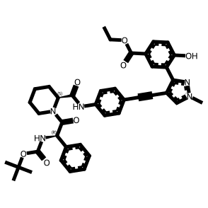 CCOC(=O)c1ccc(O)c(-c2nn(C)cc2C#Cc2ccc(NC(=O)[C@@H]3CCCCN3C(=O)[C@H](NC(=O)OC(C)(C)C)c3ccccc3)cc2)c1